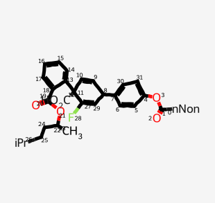 CCCCCCCCCC(=O)Oc1ccc(C2C=CC(C(=O)O)(c3ccccc3C(=O)OC(C)CCC(C)C)C(F)=C2)cc1